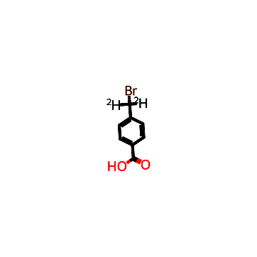 [2H]C([2H])(Br)c1ccc(C(=O)O)cc1